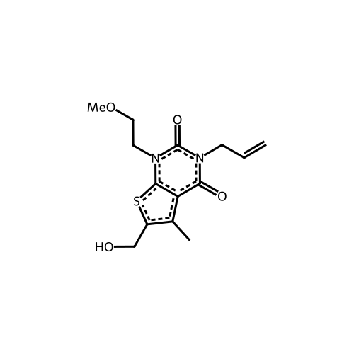 C=CCn1c(=O)c2c(C)c(CO)sc2n(CCOC)c1=O